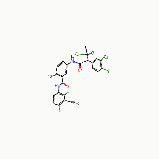 CC(=O)Nc1c(F)ccc(NC(=O)c2cc(NC(=O)[C@H](c3ccc(F)c(Cl)c3)C(C)(Cl)Cl)ccc2Cl)c1F